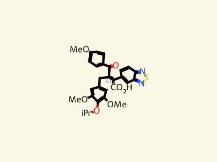 COc1ccc(C(=O)/C(Cc2cc(OC)c(OC(C)C)c(OC)c2)=C(/C(=O)O)c2ccc3nsnc3c2)cc1